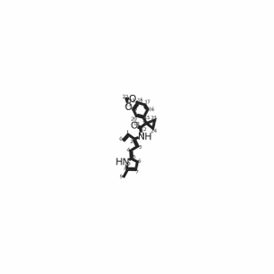 C=C/C(=C\C=C1/CC=C(C)N1)NC(=O)C1(c2ccc3c(c2)OCO3)CC1